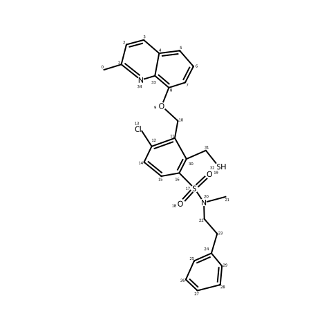 Cc1ccc2cccc(OCc3c(Cl)ccc(S(=O)(=O)N(C)CCc4ccccc4)c3CS)c2n1